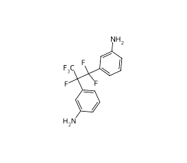 Nc1cccc(C(F)(F)C(F)(c2cccc(N)c2)C(F)(F)F)c1